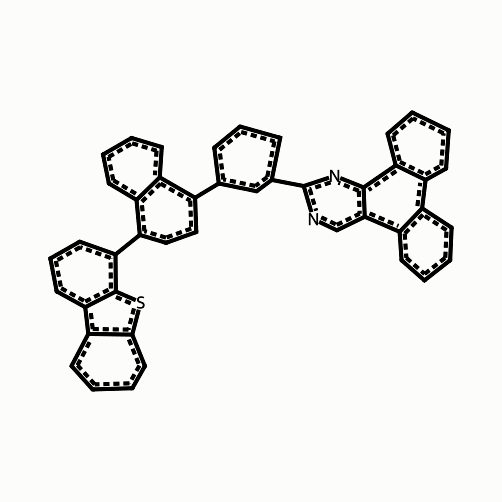 c1cc(-c2ncc3c4ccccc4c4ccccc4c3n2)cc(-c2ccc(-c3cccc4c3sc3ccccc34)c3ccccc23)c1